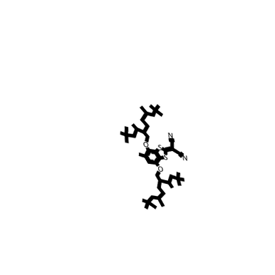 Cc1cc(OCC(CCC(C)CC(C)(C)C)C(C)CC(C)(C)C)c2c(c1OCC(CCC(C)CC(C)(C)C)C(C)CC(C)(C)C)SC(=C(C#N)C#N)S2